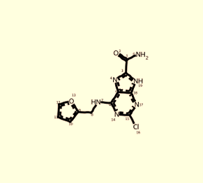 NC(=O)c1nc2c(NCc3ccco3)nc(Cl)nc2[nH]1